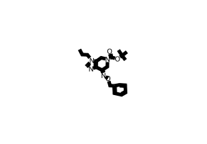 CCCn1cnc2c1CN(C(=O)OC(C)(C)C)CC2=NOCc1ccccc1